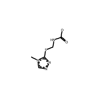 Cn1cnnc1SCNC([O])=O